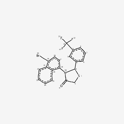 O=C1CSC(c2cccc(C(F)(F)F)c2)N1c1ccc(Br)c2ccccc12